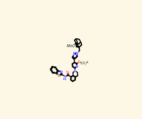 COC12CC3CC(CC(Cn4cc(-c5ccc(N6CCc7cccc(C(=O)Nc8nc9ccccc9s8)c7C6)nc5OC(=O)O)cn4)(C3)C1)C2